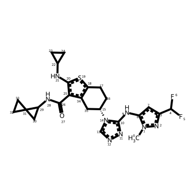 Cn1nc(C(F)F)cc1Nc1nncn1[C@H]1CCc2sc(NC3CC3)c(C(=O)NC3CC34CC4)c2C1